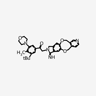 Cc1c(N2CCOCC2)cc(C(=O)CN2Cc3cc4c(cc3C2=N)OCc2ccncc2CO4)cc1C(C)(C)C